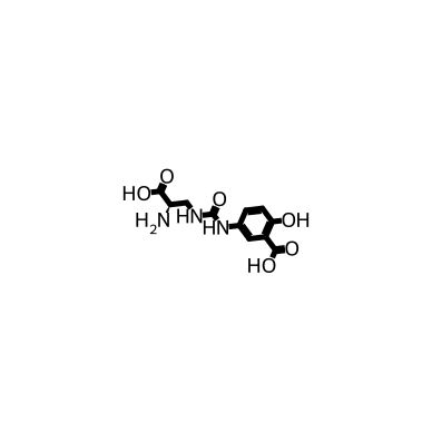 N[C@@H](CNC(=O)Nc1ccc(O)c(C(=O)O)c1)C(=O)O